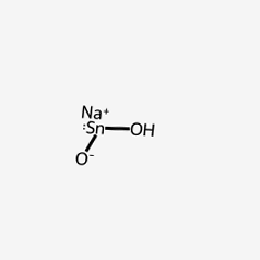 [Na+].[O-][Sn][OH]